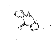 O=c1c2cnccc2cnc2ncccc12